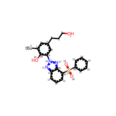 CC(C)(C)c1cc(CCCO)cc(-n2nc3cccc(S(=O)(=O)c4ccccc4)c3n2)c1O